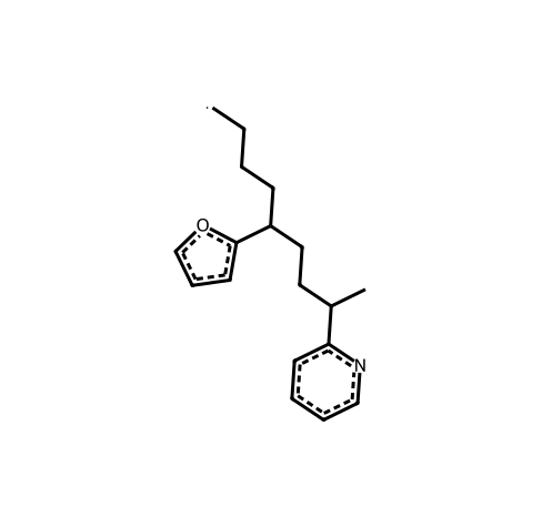 [CH2]CCCC(CCC(C)c1ccccn1)c1ccco1